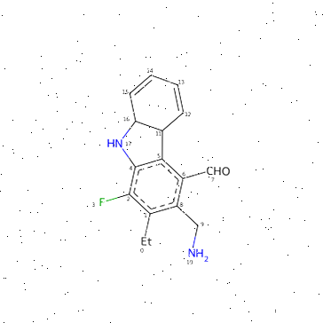 CCc1c(F)c2c(c(C=O)c1CN)C1C=CC=CC1N2